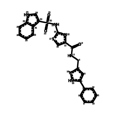 O=C(NCc1cc(-c2ccccc2)[nH]n1)c1csc(NS(=O)(=O)c2c[nH]c3ccccc23)n1